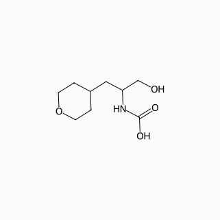 O=C(O)NC(CO)CC1CCOCC1